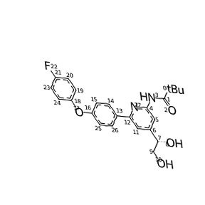 CC(C)(C)C(=O)Nc1cc([C@H](O)CO)cc(-c2ccc(Oc3ccc(F)cc3)cc2)n1